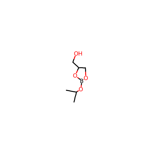 CC(C)OB1OCC(CO)O1